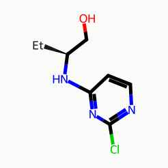 CC[C@@H](CO)Nc1ccnc(Cl)n1